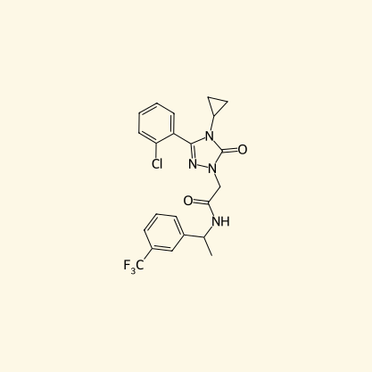 CC(NC(=O)Cn1nc(-c2ccccc2Cl)n(C2CC2)c1=O)c1cccc(C(F)(F)F)c1